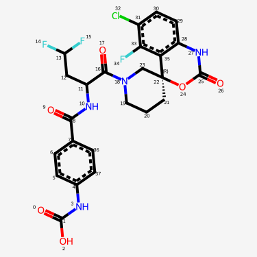 O=C(O)Nc1ccc(C(=O)NC(CC(F)F)C(=O)N2CCC[C@@]3(C2)OC(=O)Nc2ccc(Cl)c(F)c23)cc1